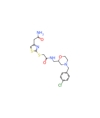 NC(=O)Cc1csc(SCC(=O)NCC2CN(Cc3ccc(Cl)cc3)CCO2)n1